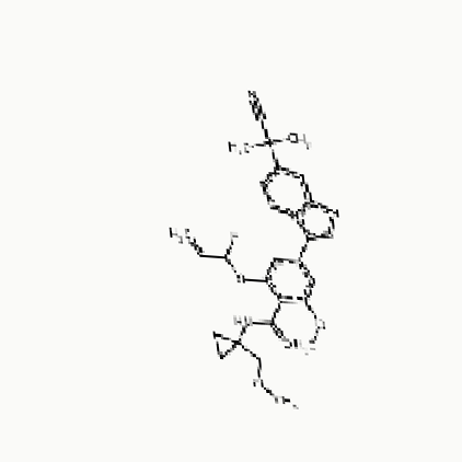 C=CC(F)Oc1cc(-c2cnc3cc(C(C)(C)C#N)ccn23)cc(OC)c1C(=O)NC1(COC)CC1